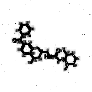 CC(CNC(=O)CN1C(C)CCCC1C)CC(C)c1ccc(C(=O)c2ccccc2)cc1